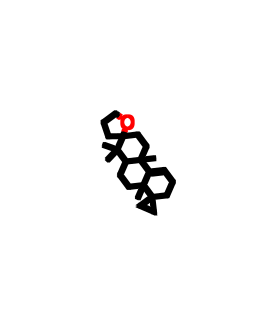 CC12CCC3(CCCO3)C(C)(C)C1CCC1(C)C2=CCCC12CC2